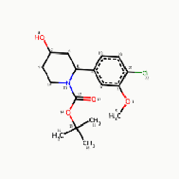 COc1cc(C2CC(O)CCN2C(=O)OC(C)(C)C)ccc1Cl